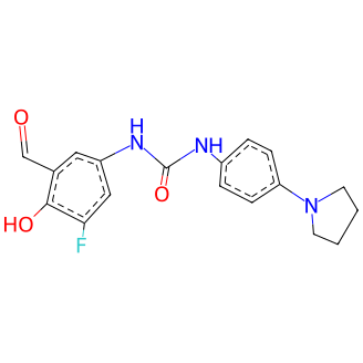 O=Cc1cc(NC(=O)Nc2ccc(N3CCCC3)cc2)cc(F)c1O